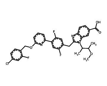 COC(C)C(C)n1c(Cc2cc(F)c(-c3cccc(OCc4ccc(Cl)cc4F)n3)cc2F)nc2ccc(C(=O)O)cc21